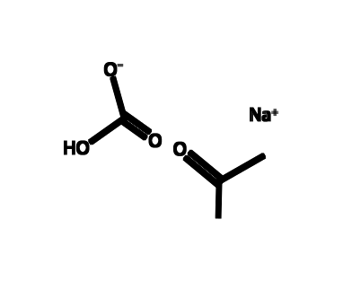 CC(C)=O.O=C([O-])O.[Na+]